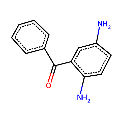 Nc1ccc(N)c(C(=O)c2ccccc2)c1